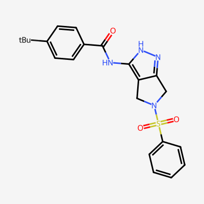 CC(C)(C)c1ccc(C(=O)Nc2[nH]nc3c2CN(S(=O)(=O)c2ccccc2)C3)cc1